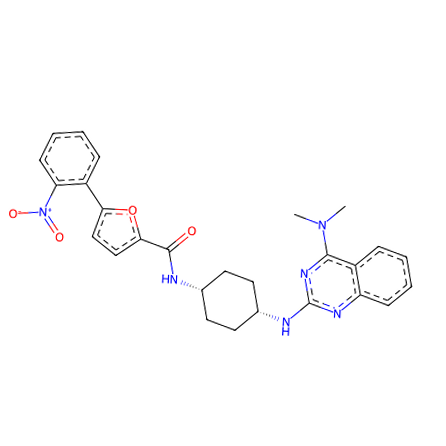 CN(C)c1nc(N[C@H]2CC[C@@H](NC(=O)c3ccc(-c4ccccc4[N+](=O)[O-])o3)CC2)nc2ccccc12